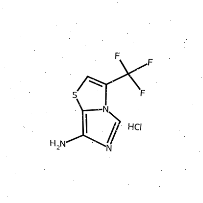 Cl.Nc1ncn2c(C(F)(F)F)csc12